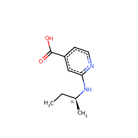 CC[C@H](C)Nc1cc(C(=O)O)ccn1